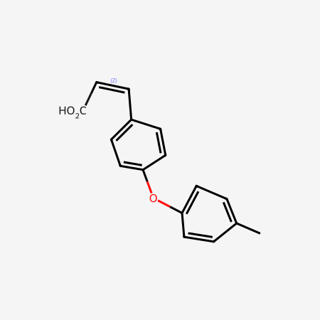 Cc1ccc(Oc2ccc(/C=C\C(=O)O)cc2)cc1